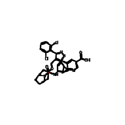 O=C(O)c1cnc2cc(NC(=O)N3C4CCC3CC(OCc3c(-c5c(Cl)cccc5Cl)noc3C3CC3)C4)ccc2c1